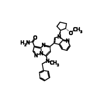 CO[C@H]1CCC[C@@H]1n1cc(-c2cc(N(C)Cc3ccccc3)n3ncc(C(N)=O)c3n2)c2cccnc21